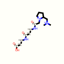 C[15N](C)CC1CCC[15N]1C[13C](=O)N[13CH2][13CH2][13C](=O)N[13CH2][13CH2][13C](=O)O